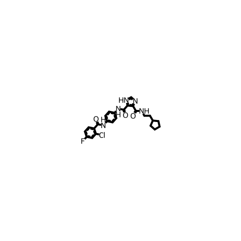 O=C(Nc1ccc(NC(=O)c2[nH]cnc2C(=O)NCCC2CCCC2)cc1)c1ccc(F)cc1Cl